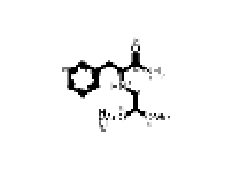 COC(CNC(Cc1ccccc1)C(N)=O)OC.Cl